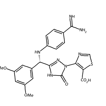 COc1cc(OC)cc([C@H](Nc2ccc(C(=N)N)cc2)c2nn(-c3ncsc3C(=O)O)c(=O)[nH]2)c1